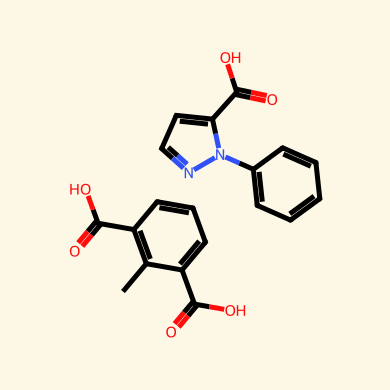 Cc1c(C(=O)O)cccc1C(=O)O.O=C(O)c1ccnn1-c1ccccc1